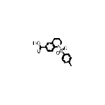 Cc1ccc(S(=O)(=O)N2CCCc3cc(C(=O)O)ccc32)cc1